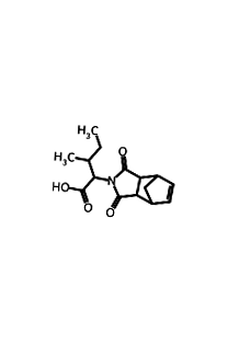 CCC(C)C(C(=O)O)N1C(=O)C2C3C=CC(C3)C2C1=O